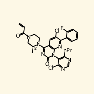 C=CC(=O)N1CCN(c2nc(=O)n(-c3c(Cl)ncnc3CCC)c3nc(-c4ccccc4F)c(Cl)cc23)[C@@H](C)C1